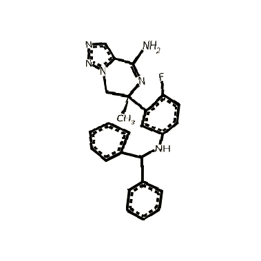 C[C@@]1(c2cc(NC(c3ccccc3)c3ccccc3)ccc2F)Cn2nncc2C(N)=N1